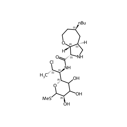 CCCC[C@@H]1CCO[C@@H]2[C@H](CN[C@@H]2C(=O)N[C@H]([C@H](C)Cl)[C@H]2OC(SC)[C@H](O)C(O)C2O)C1